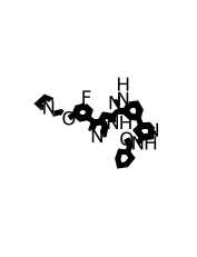 O=C(Nc1cncc(-c2ccc3[nH]nc(-c4cc5c(-c6cc(F)cc(OCCN7CCCC7)c6)cncc5[nH]4)c3c2)c1)C1CCCCC1